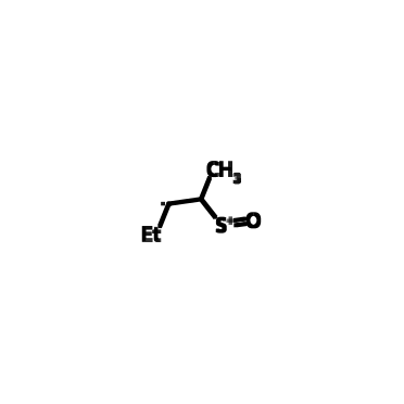 CC[CH]C(C)[S+]=O